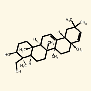 CC1(C)C=C[C@]2(C)CC[C@]3(C)C(=CC[C@@H]4[C@@]5(C)CC[C@H](O)[C@](C)(CO)[C@@H]5CC[C@]43C)[C@@H]2C1